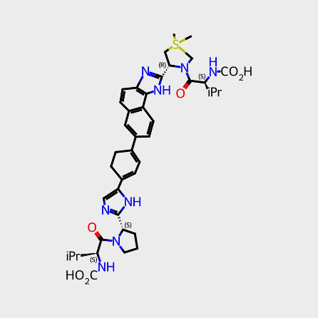 CC(C)[C@H](NC(=O)O)C(=O)N1CCC[C@H]1c1ncc(C2=CC=C(c3ccc4c(ccc5nc([C@@H]6CS(C)(C)CN6C(=O)[C@@H](NC(=O)O)C(C)C)[nH]c54)c3)CC2)[nH]1